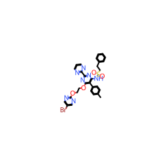 Cc1ccc(-c2c(NS(=O)(=O)CCc3ccccc3)nc(-c3ncccn3)nc2OCCOc2ncc(Br)cn2)cc1